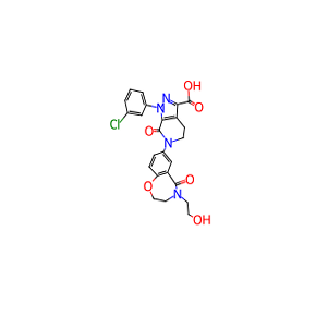 O=C(O)c1nn(-c2cccc(Cl)c2)c2c1CCN(c1ccc3c(c1)C(=O)N(CCO)CCO3)C2=O